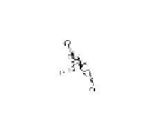 Cl.NCCCCC(NC(=O)OCc1ccccc1)C(=O)c1noc(Cc2ccc(OCCc3ccsc3)cc2)n1